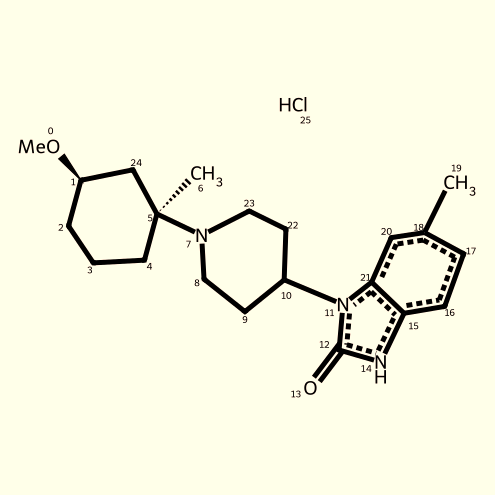 CO[C@@H]1CCC[C@](C)(N2CCC(n3c(=O)[nH]c4ccc(C)cc43)CC2)C1.Cl